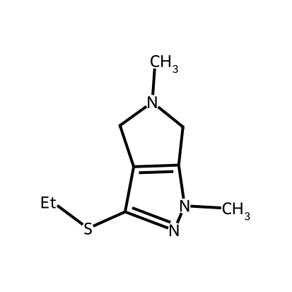 CCSc1nn(C)c2c1CN(C)C2